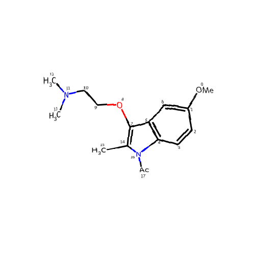 COc1ccc2c(c1)c(OCCN(C)C)c(C)n2C(C)=O